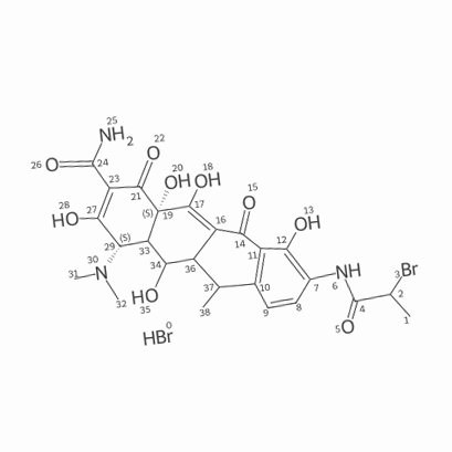 Br.CC(Br)C(=O)Nc1ccc2c(c1O)C(=O)C1=C(O)[C@]3(O)C(=O)C(C(N)=O)=C(O)[C@@H](N(C)C)C3C(O)C1C2C